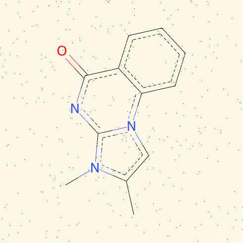 Cc1cn2c3ccccc3c(=O)nc2n1C